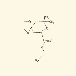 CCOC(=O)C1CC2(CC(C)(C)O1)OCCO2